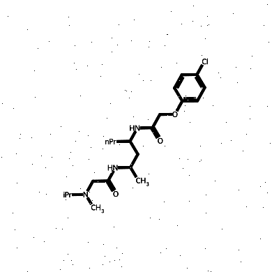 CCCC(CC(C)NC(=O)CN(C)C(C)C)NC(=O)COc1ccc(Cl)cc1